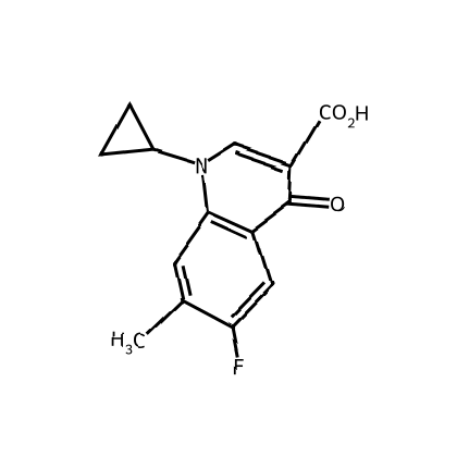 Cc1cc2c(cc1F)c(=O)c(C(=O)O)cn2C1CC1